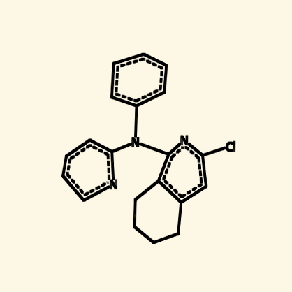 Clc1cc2c(c(N(c3ccccc3)c3ccccn3)n1)CCCC2